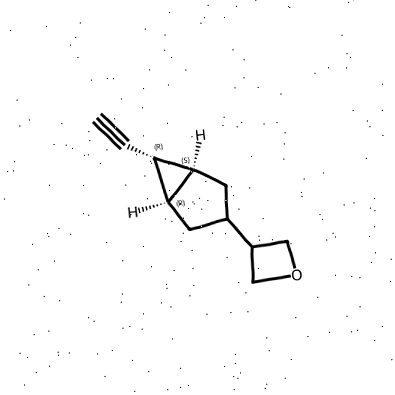 C#C[C@@H]1[C@H]2CC(C3COC3)C[C@@H]12